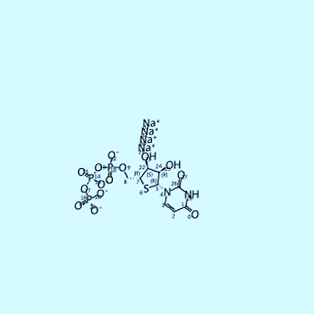 O=c1ccn([C@@H]2S[C@H](COP(=O)([O-])OP(=O)([O-])OP(=O)([O-])[O-])[C@@H](O)[C@H]2O)c(=O)[nH]1.[Na+].[Na+].[Na+].[Na+]